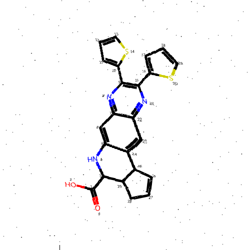 O=C(O)C1Nc2cc3nc(-c4cccs4)c(-c4cccs4)nc3cc2C2C=CCC12